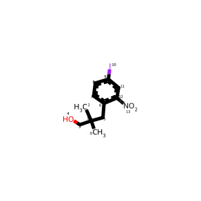 CC(C)(CO)Cc1ccc(I)cc1[N+](=O)[O-]